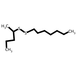 CCCCCCCSSC(C)CCC